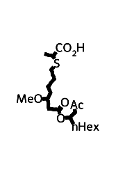 CCCCCCC(CC(C)=O)OC(=O)CC(CCCCSC(C)C(=O)O)OC